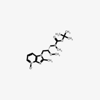 CO[C@@H](CN(C)C(=O)OC(C)(C)C)Cn1c(C)nc2c1ccc[n+]2[O-]